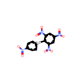 Cc1c([N+](=O)[O-])cc([N+](=O)[O-])cc1[N+](=O)[O-].O=[N+]([O-])c1ccccc1